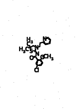 COc1ccc(Cl)cc1C(=O)/N=C1\SC(C)(C)CN1CCc1ccccn1